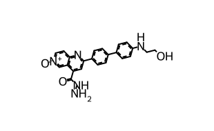 NNC(=O)c1cc(-c2ccc(-c3ccc(NCCO)cc3)cc2)nc2cc[n+]([O-])cc12